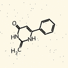 C=C1NC(=O)C=C(c2ccccc2)N1